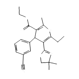 CCOC(=O)C1=C(C)NC(CC)=C(C2=NC(C)(C)CO2)C1c1cccc(C#N)c1